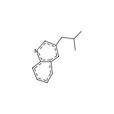 CC(C)Cc1cnc2ccccc2c1